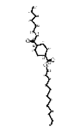 CCCCCCCCCCCCOC(=O)C1CCC(C(=O)OCCCCCC)CC1